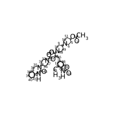 CC(=O)OC1CCN(C2CCN(C(=O)[C@@H](Cc3cc(C)c4[nH]c(=O)oc4c3)OC(=O)N3CCC(N4CCc5ccccc5NC4=O)CC3)CC2)CC1